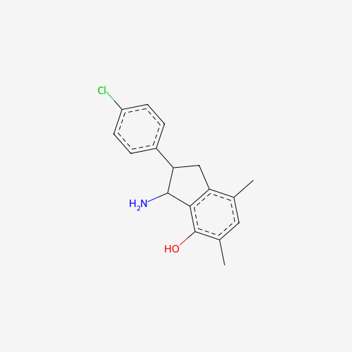 Cc1cc(C)c2c(c1O)C(N)C(c1ccc(Cl)cc1)C2